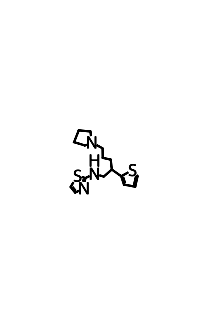 c1csc(C(CCCN2CCCC2)CNc2nccs2)c1